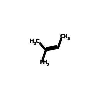 C/C=C(\C)P